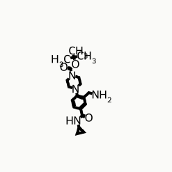 CC(C)(C)OC(=O)N1CCN(c2ccc(C(=O)NC3CC3)cc2CN)CC1